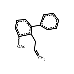 C=CCc1c(OC(C)=O)cccc1-c1ccccc1